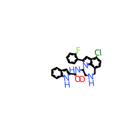 O=C(NC1C(=O)NCc2ccc(Cl)c3cc(-c4ccccc4F)n1c23)c1cc2ccccc2[nH]1